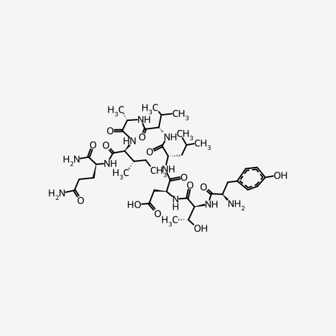 CC[C@H](C)[C@H](NC(=O)[C@H](C)NC(=O)[C@@H](NC(=O)[C@H](CC(C)C)NC(=O)[C@H](CC(=O)O)NC(=O)[C@@H](NC(=O)[C@H](N)Cc1ccc(O)cc1)[C@@H](C)O)C(C)C)C(=O)N[C@@H](CCC(N)=O)C(N)=O